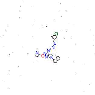 Cc1cccc2cccc(N3CCc4c(nc(OCC5CCCN5C)nc4N(C)CCN=C=NCc4ccc(Cl)cc4)C3)c12